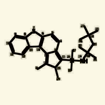 CC1=c2c(ccc3sc4ccccc4c23)=C([Si](C)(C)NC(C)(C)CC(C)(C)C)C1C